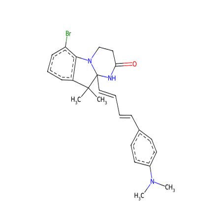 CN(C)c1ccc(C=CC=CC23NC(=O)CCN2c2c(Br)cccc2C3(C)C)cc1